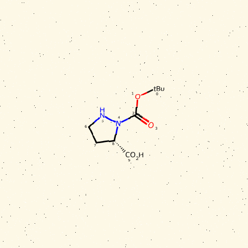 CC(C)(C)OC(=O)N1NCC[C@H]1C(=O)O